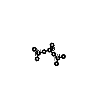 c1ccc(-c2cc(-c3ccc(-c4cc(-c5ccc(-c6nc(-c7ccccc7)cc(-c7ccccc7)n6)cc5)c5oc6ccccc6c5c4)cc3)nc(-c3ccccc3)n2)cc1